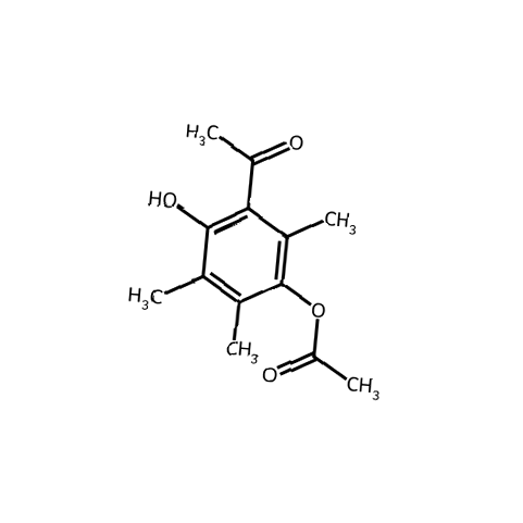 CC(=O)Oc1c(C)c(C)c(O)c(C(C)=O)c1C